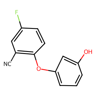 N#Cc1cc(F)ccc1Oc1cccc(O)c1